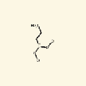 CCO[SiH](CCC(=O)O)OCC